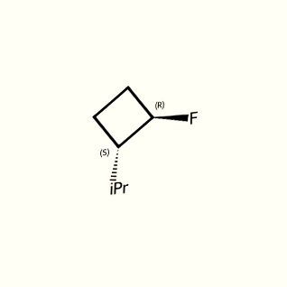 CC(C)[C@@H]1CC[C@H]1F